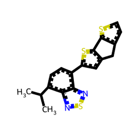 CC(C)c1ccc(-c2cc3c(s2)-c2sccc2C3)c2nsnc12